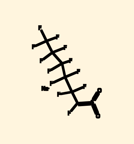 O=S(=O)=C(F)C(F)(F)C(F)(F)C(F)(F)C(F)(F)C(F)(F)F.[Na]